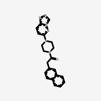 O=C(Cc1ccc2ccccc2c1)N1CCN(c2ccc3nncn3n2)CC1